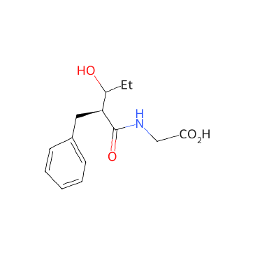 CCC(O)[C@H](Cc1ccccc1)C(=O)NCC(=O)O